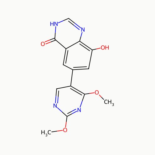 COc1ncc(-c2cc(O)c3nc[nH]c(=O)c3c2)c(OC)n1